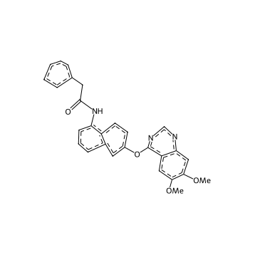 COc1cc2ncnc(Oc3ccc4c(NC(=O)Cc5ccccc5)cccc4c3)c2cc1OC